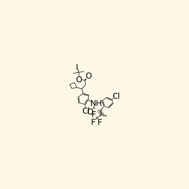 C[C@H]([C@H](C(=O)Nc1cc(C(CC(=O)OC(C)(C)I)C2CCC2)ccc1Cl)c1ccc(Cl)cc1)C(F)(F)F